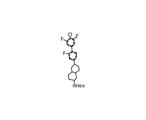 CCCCCCC1CCC2CC(c3ccc(-c4cc(F)c(Cl)c(F)c4)c(F)c3)CCC2C1